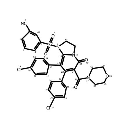 N#Cc1cccc(S(=O)(=O)N2CCn3c2c(-c2ccc(Cl)cc2)c(-c2ccc(Cl)cc2)c(C(=O)N2CCOCC2)c3=O)c1